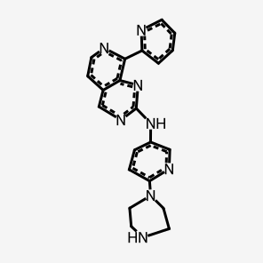 c1ccc(-c2nccc3cnc(Nc4ccc(N5CCNCC5)nc4)nc23)nc1